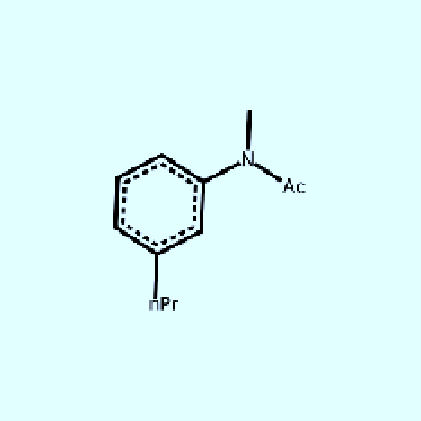 CCCc1cccc(N(C)C(C)=O)c1